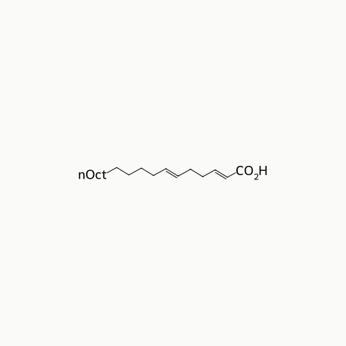 CCCCCCCCCCCCC=CCCC=CC(=O)O